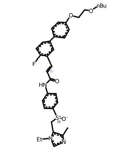 CCCCOCCOc1ccc(-c2ccc(F)c(/C=C/C(=O)Nc3ccc([S@+]([O-])Cc4c(C)ncn4CC)cc3)c2)cc1